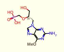 COc1nc(N)nc2c1ncn2C[C@@H](CO)OCP(=O)(O)O